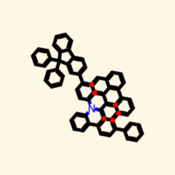 c1ccc(-c2ccc(-c3ccccc3N(c3ccc(-c4ccc5c(c4)C(c4ccccc4)(c4ccccc4)c4ccccc4-5)cc3)c3ccccc3-c3cccc4cccc(-c5ccccc5)c34)cc2)cc1